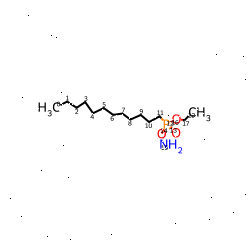 CCCCCCCCCCCCP(=O)(ON)OCC